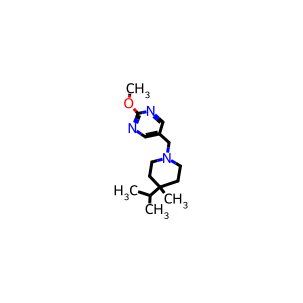 COc1ncc(CN2CCC(C)(C(C)C)CC2)cn1